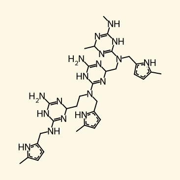 CNC1=NC(C)N=C(N(Cc2ccc(C)[nH]2)CC2N=C(N)NC(N(CCC3N=C(N)NC(NCc4ccc(C)[nH]4)=N3)Cc3ccc(C)[nH]3)=N2)N1